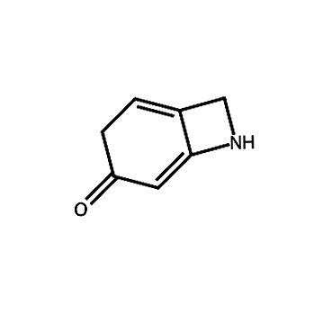 O=C1C=C2NCC2=CC1